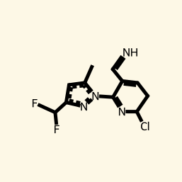 Cc1cc(C(F)F)nn1C1=NC(Cl)CC=C1C=N